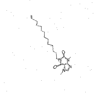 C=CCCCCCCCCCCCCn1c(=O)c2c(ncn2C)n(C)c1=O